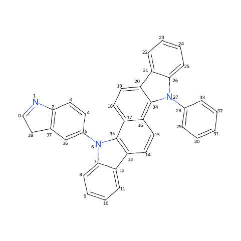 C1=Nc2ccc(-n3c4ccccc4c4ccc5c(ccc6c7ccccc7n(-c7ccccc7)c65)c43)cc2C1